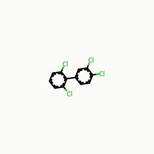 Clc1ccc(-c2c(Cl)cccc2Cl)cc1Cl